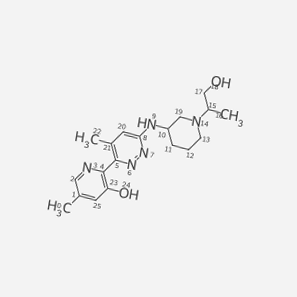 Cc1cnc(-c2nnc(NC3CCCN(C(C)CO)C3)cc2C)c(O)c1